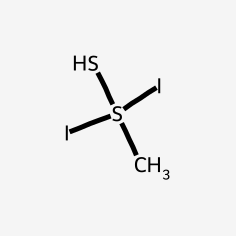 CS(S)(I)I